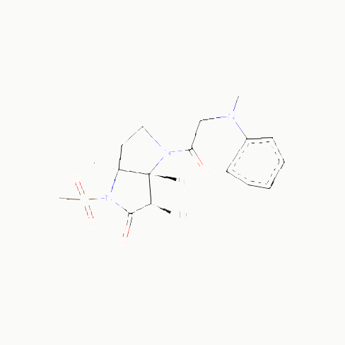 CCC[C@H]1C(=O)N(S(C)(=O)=O)[C@H]2CCN(C(=O)CN(C)c3ccccc3)[C@H]12